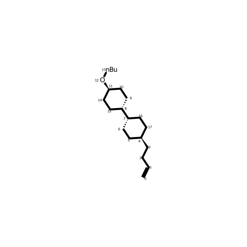 C=CCC[C@H]1CC[C@H]([C@H]2CC[C@H](OCCCC)CC2)CC1